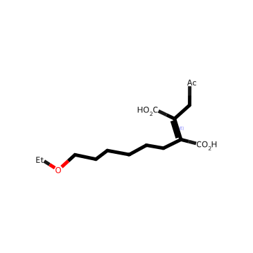 CCOCCCCCC/C(C(=O)O)=C(/CC(C)=O)C(=O)O